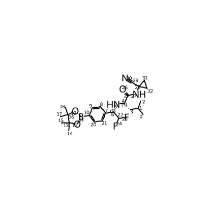 CC(C)C[C@H](N[C@@H](c1ccc(B2OC(C)(C)C(C)(C)O2)cc1)C(F)F)C(=O)NC1(C#N)CC1